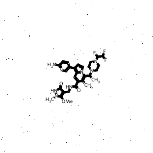 COc1c(CNC(=O)c2cc3c(-c4ccc(N)nc4)ccn3c(C(C)N3CCN(C(F)C(F)F)CC3)c2C)c(=O)[nH]n1C